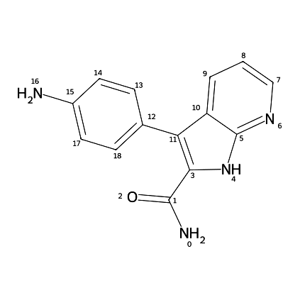 NC(=O)c1[nH]c2ncccc2c1-c1ccc(N)cc1